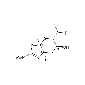 CNC1=N[C@@H]2C[C@H](O)[C@@H](C(F)F)S[C@@H]2O1